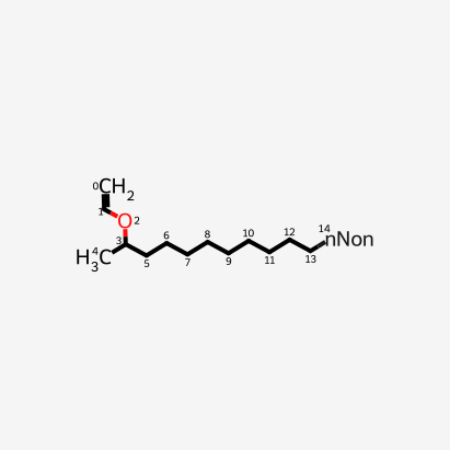 C=COC(C)CCCCCCCCCCCCCCCCCC